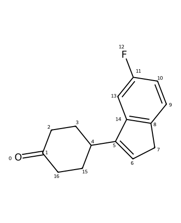 O=C1CCC(C2=CCc3ccc(F)cc32)CC1